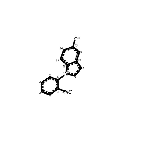 [C-]#[N+]c1ccccc1-n1ccc2cc(F)ccc21